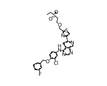 CCS(=O)(=O)CCOCc1nc(-c2cc3c(Nc4ccc(OCc5cccc(F)c5)c(Cl)c4)ncnc3cn2)cs1